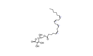 CCCCC/C=C\C/C=C\C/C=C\C/C=C\CCCC(=O)OC[C@H](O)[C@H]1OC(=O)C(O)=C1O